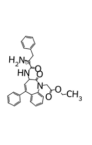 CCOC(=O)CN1C(=O)C(NC(=O)[C@@H](N)Cc2ccccc2)C=C(c2ccccc2)c2ccccc21